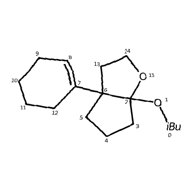 CCC(C)OC12CCCC1(C1=CCCCC1)CCO2